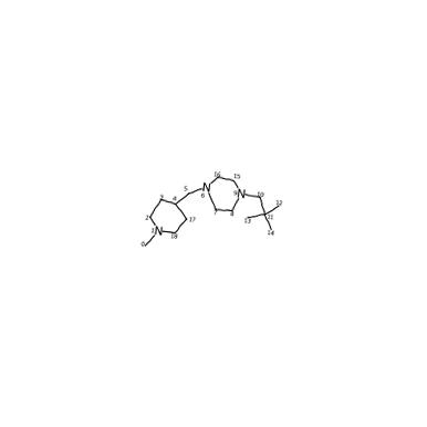 CN1CCC(CN2CCN(CC(C)(C)C)CC2)CC1